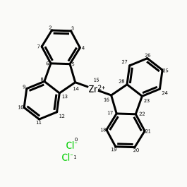 [Cl-].[Cl-].c1ccc2c(c1)-c1ccccc1[CH]2[Zr+2][CH]1c2ccccc2-c2ccccc21